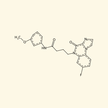 COc1cccc(NC(=O)CCCn2c(=O)c3nccn3c3ccc(F)cc32)c1